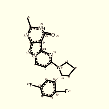 Cc1nc2nn3ccc(N4CCC[C@@H]4c4cc(F)ccc4F)nc3c2c(=O)[nH]1